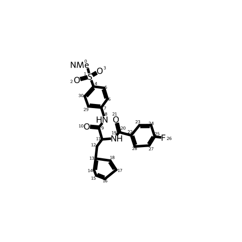 CNS(=O)(=O)c1ccc(NC(=O)C(Cc2ccccc2)NC(=O)c2ccc(F)cc2)cc1